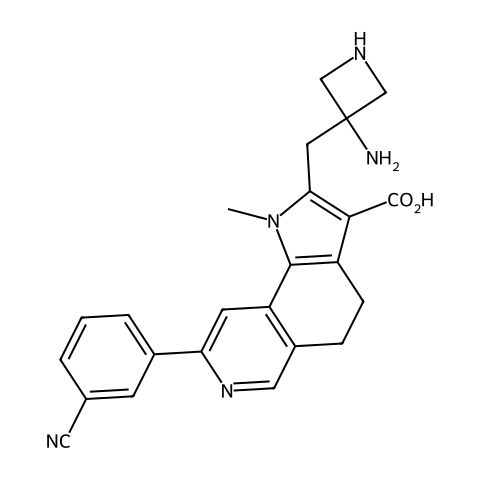 Cn1c(CC2(N)CNC2)c(C(=O)O)c2c1-c1cc(-c3cccc(C#N)c3)ncc1CC2